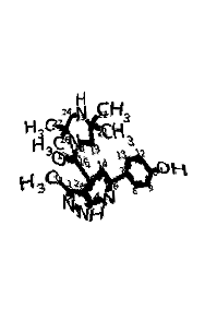 Cc1n[nH]c2nc(-c3ccc(O)cc3)cc(C(=O)N3CC(C)(C)NCC3(C)C)c12